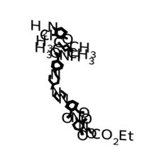 CCOC(=O)OCN1C(=O)CCC(N2C(=O)c3ccc(N4CCN(CC5CCN(c6ccc(C(=O)N[C@H]7C(C)(C)[C@H](Oc8ccc(N)c(Cl)c8)C7(C)C)cc6)CC5)CC4)cc3C2=O)C1=O